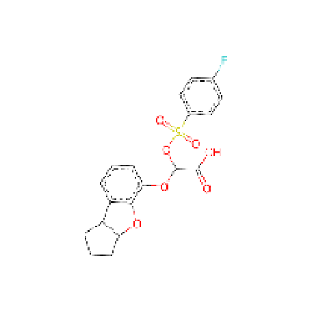 O=C(O)C(Oc1cccc2c1OC1CCCC21)OS(=O)(=O)c1ccc(F)cc1